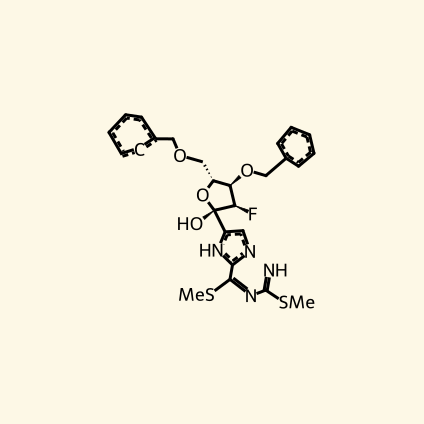 CSC(=N)/N=C(/SC)c1ncc([C@]2(O)O[C@H](COCc3ccccc3)[C@@H](OCc3ccccc3)[C@H]2F)[nH]1